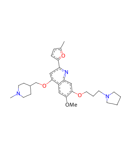 COc1cc2c(OCC3CCN(C)CC3)cc(-c3ccc(C)o3)nc2cc1OCCCN1CCCC1